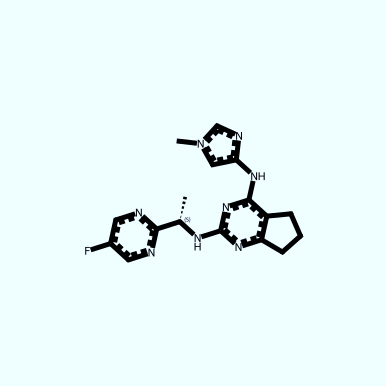 C[C@H](Nc1nc2c(c(Nc3cn(C)cn3)n1)CCC2)c1ncc(F)cn1